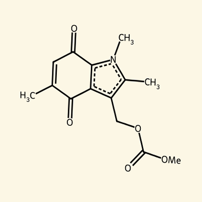 COC(=O)OCc1c2c(n(C)c1C)C(=O)C=C(C)C2=O